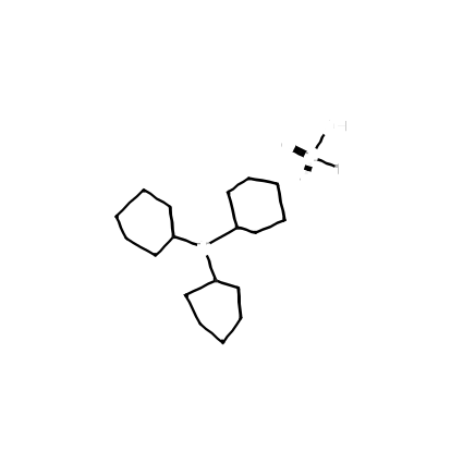 C1CCC(P(C2CCCCC2)C2CCCCC2)CC1.O=S(=O)(O)F